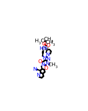 CC#CCn1c(N2CCC[C@@H](NC(=O)OC(C)(C)C)C2)nc2c1c(=O)n(Cc1ccc3cccnc3c1C#N)c(=O)n2C